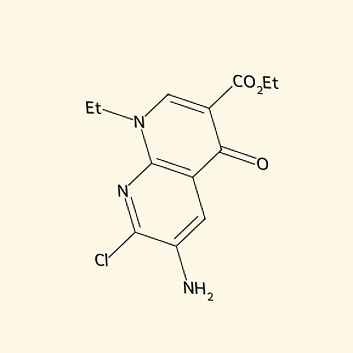 CCOC(=O)c1cn(CC)c2nc(Cl)c(N)cc2c1=O